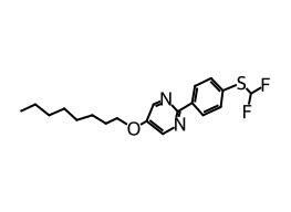 CCCCCCCCOc1cnc(-c2ccc(SC(F)F)cc2)nc1